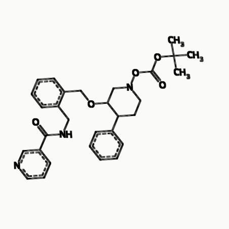 CC(C)(C)OC(=O)ON1CCC(c2ccccc2)C(OCc2ccccc2CNC(=O)c2cccnc2)C1